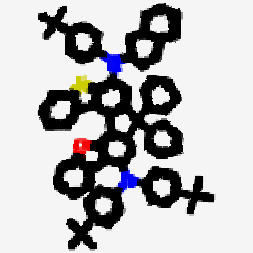 CC(C)(C)c1ccc(N(c2ccc3ccccc3c2)c2cc3c(c4c2sc2ccccc24)-c2c(cc(N(c4ccc(C(C)(C)C)cc4)c4ccc(C(C)(C)C)cc4)c4c2oc2ccccc24)C3(c2ccccc2)c2ccccc2)cc1